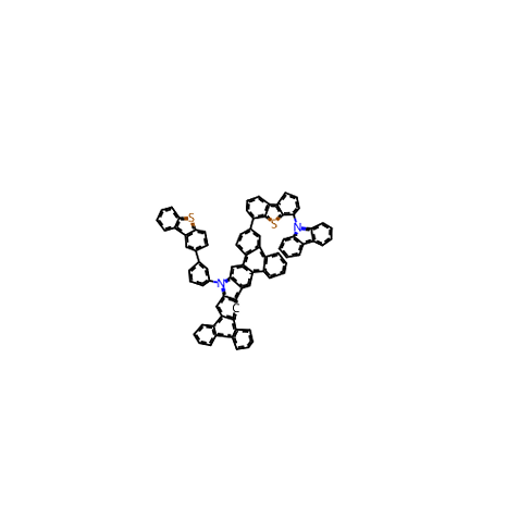 c1cc(-c2ccc3sc4ccccc4c3c2)cc(-n2c3cc4c5ccccc5c5ccccc5c4cc3c3cc4c5ccccc5c5cc(-c6cccc7c6sc6c(-n8c9ccccc9c9ccccc98)cccc67)ccc5c4cc32)c1